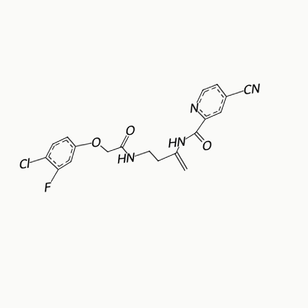 C=C(CCNC(=O)COc1ccc(Cl)c(F)c1)NC(=O)c1cc(C#N)ccn1